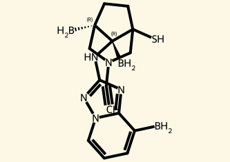 Bc1cccn2nc(N[C@@]3(B)C4(S)CC[C@]3(B)CN(C#C)C4)nc12